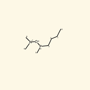 CCCCP(C)ON(C)C